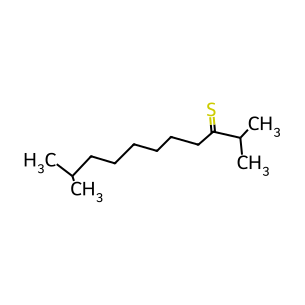 CC(C)CCCCCCC(=S)C(C)C